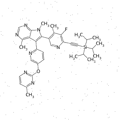 Cc1ccnc(Oc2ccc(-c3c(-c4cnc(C#C[Si](C(C)C)(C(C)C)C(C)C)c(F)c4C)n(C)c4ncnc(C)c34)nc2)n1